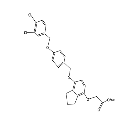 COC(=O)COc1ccc(SCc2ccc(OCc3ccc(Cl)c(Cl)c3)cc2)c2c1CCC2